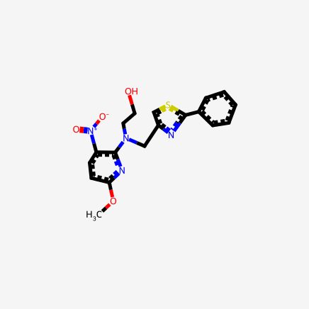 COc1ccc([N+](=O)[O-])c(N(CCO)Cc2csc(-c3ccccc3)n2)n1